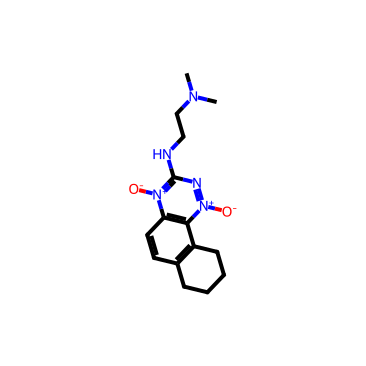 CN(C)CCNc1n[n+]([O-])c2c3c(ccc2[n+]1[O-])CCCC3